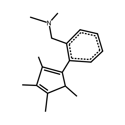 CC1=C(C)C(C)C(c2ccccc2CN(C)C)=C1C